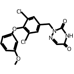 COc1cccc(Oc2c(Cl)cc(Cn3ncc(=O)[nH]c3=O)cc2Cl)c1